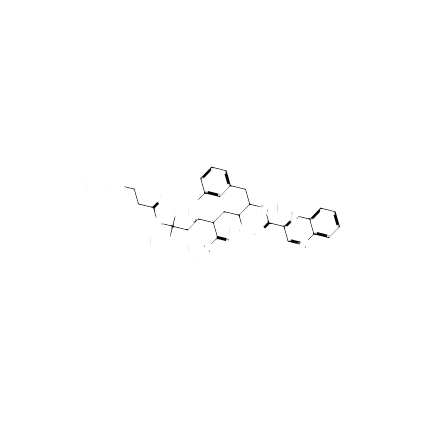 CCOC(=O)CCC(=O)OC(C)(C)CCC(CC(O)C(Cc1cccc(F)c1)NC(=O)c1cnc2ccccc2n1)C(N)=O